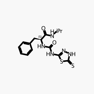 CC(C)NC(=O)[C@H](Cc1ccccc1)NC(=O)Nc1n[nH]c(=S)s1